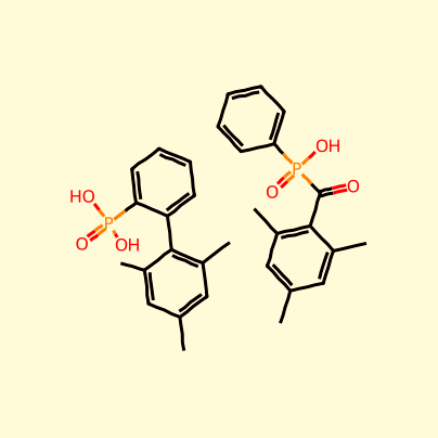 Cc1cc(C)c(-c2ccccc2P(=O)(O)O)c(C)c1.Cc1cc(C)c(C(=O)P(=O)(O)c2ccccc2)c(C)c1